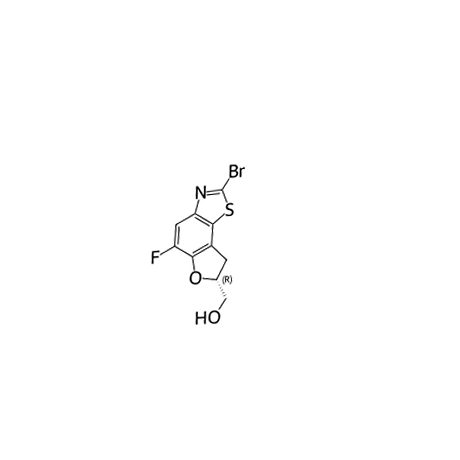 OC[C@H]1Cc2c(c(F)cc3nc(Br)sc23)O1